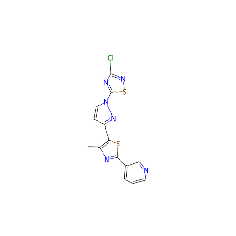 Cc1nc(-c2cccnc2)sc1-c1ccn(-c2nc(Cl)ns2)n1